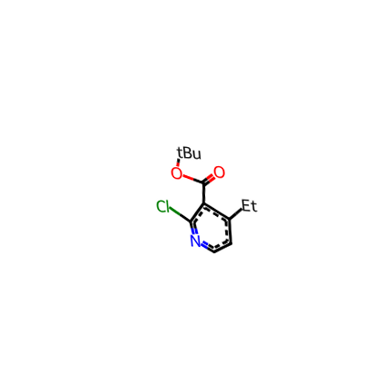 CCc1ccnc(Cl)c1C(=O)OC(C)(C)C